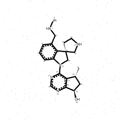 CC(C)NCc1cccc2c1[C@]1(CCNC1)CN2c1ncnc2c1[C@H](C)C[C@H]2O